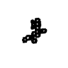 c1ccc(N(c2ccc(-c3cc4c(cc3N(c3ccccc3)c3ccccc3)Sc3ccccc3C43c4ccccc4-c4ccccc43)cc2)c2ccc3ccccc3c2)cc1